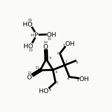 CC(CO)(CO)C1(CO)C(=O)C1=O.OP(O)O